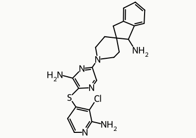 Nc1nc(N2CCC3(CC2)Cc2ccccc2C3N)cnc1Sc1ccnc(N)c1Cl